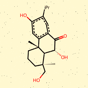 CC(C)c1cc2c(cc1O)[C@@]1(C)CCC[C@](C)(CO)C1[C@@H](O)C2=O